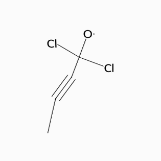 CC#CC([O])(Cl)Cl